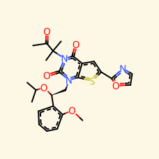 COc1ccccc1[C@H](Cn1c(=O)n(C(C)(C)C(C)=O)c(=O)c2cc(-c3ncco3)sc21)OC(C)C